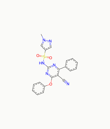 Cn1cc(S(=O)(=O)Nc2nc(Oc3ccccc3)c(C#N)c(-c3ccccc3)n2)cn1